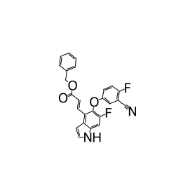 N#Cc1cc(Oc2c(F)cc3[nH]ccc3c2/C=C/C(=O)OCc2ccccc2)ccc1F